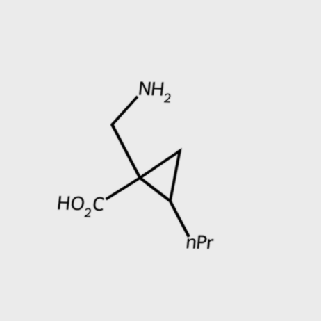 CCCC1CC1(CN)C(=O)O